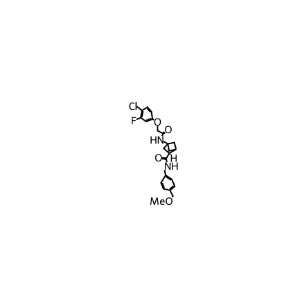 COCc1ccc(CNC(=O)[C@@H]2CC3(NC(=O)COc4ccc(Cl)c(F)c4)CC2C3)cc1